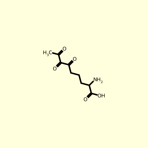 CC(=O)C(=O)C(=O)CCCC(N)C(=O)O